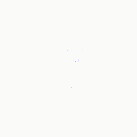 Cc1ncc(-c2cccc([N+](=O)[O-])c2)[nH]1